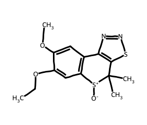 CCOc1cc2c(cc1OC)-c1nnsc1C(C)(C)[S+]2[O-]